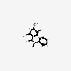 CN(C(=S)n1cc(F)c(N)nc1=O)c1ccccc1